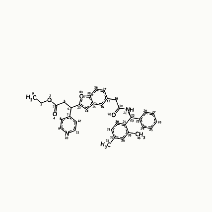 CCOC(=O)CC(c1ccncc1)c1cc2cc(CC(=O)N[C@@H](c3ccccc3)c3ccc(C)cc3C)ccc2o1